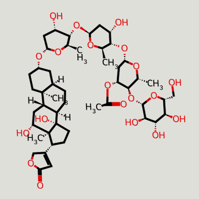 CC(=O)O[C@@H]1C[C@H](O[C@H]2[C@@H](O)C[C@H](O[C@H]3[C@@H](O)C[C@@H](O[C@H]4CC[C@@]5(C)[C@H](CC[C@@H]6[C@@H]5C[C@@H](O)[C@]5(C)[C@@H](C7=CC(=O)OC7)CC[C@]65O)C4)O[C@@H]3C)O[C@@H]2C)O[C@H](C)[C@H]1O[C@@H]1O[C@H](CO)[C@@H](O)[C@H](O)[C@H]1O